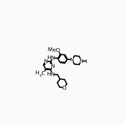 COc1cc(N2CCN(I)CC2)ccc1Nc1ncc(C)c(NCC2CCOCC2)n1